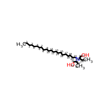 CCCCCCCCCCCCCCCCCCCCCCN(C(CC)CO)C(CC)CO